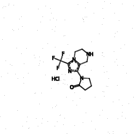 Cl.O=C1CCCN1c1nc(C(F)(F)F)n2c1CNCC2